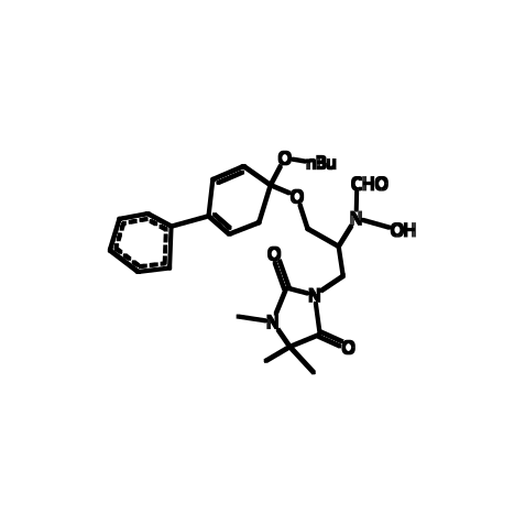 CCCCOC1(OCC(CN2C(=O)N(C)C(C)(C)C2=O)N(O)C=O)C=CC(c2ccccc2)=CC1